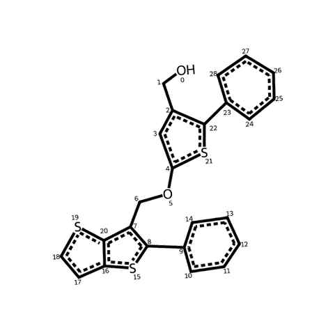 OCc1cc(OCc2c(-c3ccccc3)sc3ccsc23)sc1-c1ccccc1